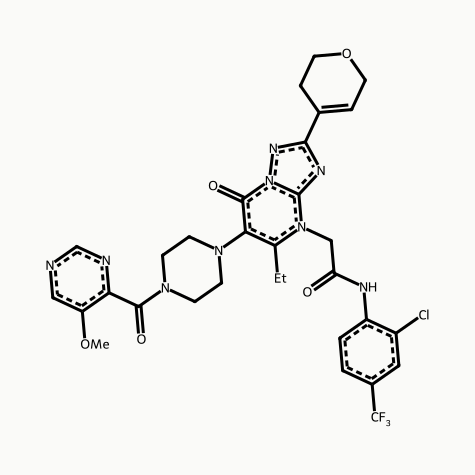 CCc1c(N2CCN(C(=O)c3ncncc3OC)CC2)c(=O)n2nc(C3=CCOCC3)nc2n1CC(=O)Nc1ccc(C(F)(F)F)cc1Cl